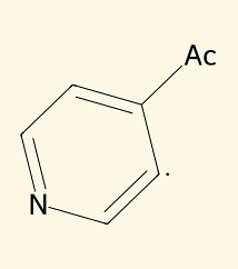 CC(=O)c1[c]cncc1